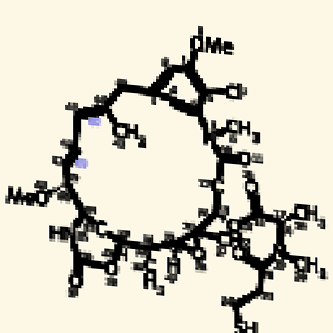 COc1cc2cc(c1Cl)N(C)C(=O)C[C@H](OC(=O)[C@H](C)N(C)C(=O)CCS)[C@]1(C)O[C@H]1[C@H](C)[C@@H]1CC(NC(=O)O1)[C@H](OC)/C=C/C=C(\C)C2